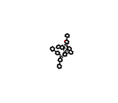 c1ccc(-c2ccc(N(c3ccc(-c4ccccc4)cc3)c3ccc4c(c3)Oc3c(N(c5ccc(-c6ccccc6)cc5)c5ccc6ccccc6c5)ccc5cccc-4c35)cc2)cc1